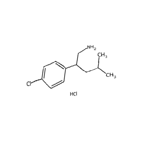 CC(C)CC(CN)c1ccc(Cl)cc1.Cl